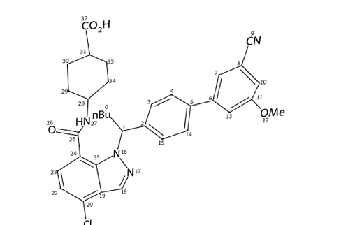 CCCCC(c1ccc(-c2cc(C#N)cc(OC)c2)cc1)n1ncc2c(Cl)ccc(C(=O)NC3CCC(C(=O)O)CC3)c21